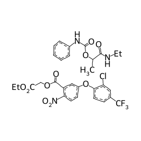 CCNC(=O)C(C)OC(=O)Nc1ccccc1.CCOC(=O)COC(=O)c1cc(Oc2ccc(C(F)(F)F)cc2Cl)ccc1[N+](=O)[O-]